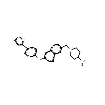 CN(C)C1CCN(Cc2cnc3cc(Oc4ccc(-c5ccn[nH]5)cn4)ccc3c2)CC1